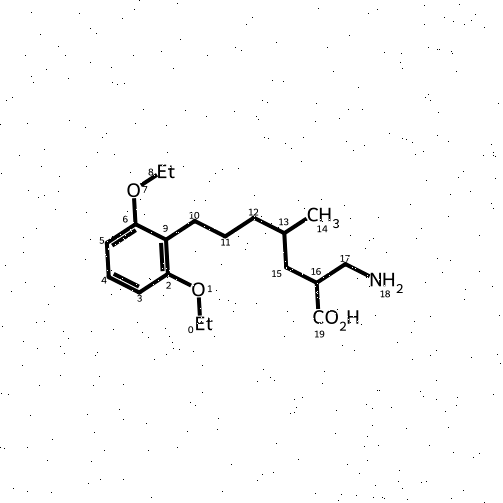 CCOc1cccc(OCC)c1CCCC(C)CC(CN)C(=O)O